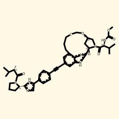 COC(=O)N[C@H](C(=O)N1C[C@@H]2C[C@H]1c1nc3c(cc(C#Cc4ccc(-c5cnc([C@@H]6CCCN6C(=O)[C@@H](C)C(C)C)[nH]5)cc4)cc3[nH]1)CCCCCO2)C(C)C